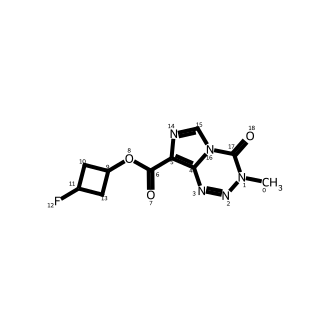 Cn1nnc2c(C(=O)OC3CC(F)C3)ncn2c1=O